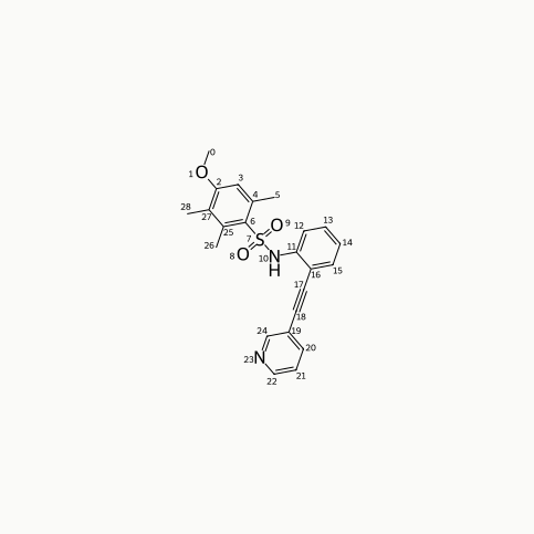 COc1cc(C)c(S(=O)(=O)Nc2ccccc2C#Cc2cccnc2)c(C)c1C